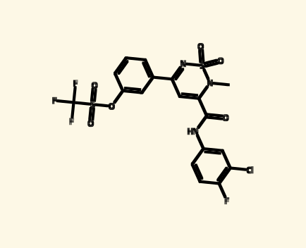 CN1C(C(=O)Nc2ccc(F)c(Cl)c2)=CC(c2cccc(OS(=O)(=O)C(F)(F)F)c2)=NS1(=O)=O